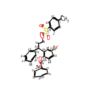 Cc1ccc(S(=O)(=O)OCCC(c2ccccc2)c2cc(Br)ccc2Oc2ccccc2)cc1